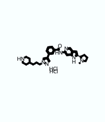 CN1CCC[C@@H]1c1cc2cnc(NC(=O)c3cccc(-c4cnn(CCCC5CCNCC5)c4)c3)cc2[nH]1.Cl.Cl